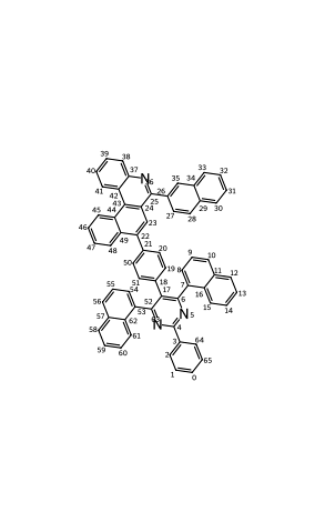 c1ccc(-c2nc(-c3cccc4ccccc34)c(-c3ccc(-c4cc5c(-c6ccc7ccccc7c6)nc6ccccc6c5c5ccccc45)cc3)c(-c3cccc4ccccc34)n2)cc1